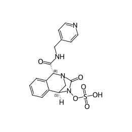 O=C(NCc1ccncc1)[C@H]1c2ccccc2[C@H]2CN1C(=O)N2OS(=O)(=O)O